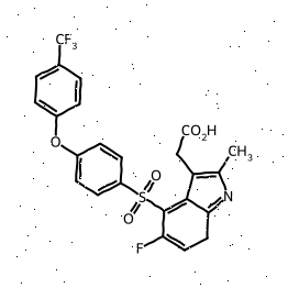 CC1=C(CC(=O)O)C2=C(S(=O)(=O)c3ccc(Oc4ccc(C(F)(F)F)cc4)cc3)C(F)=CCC2=N1